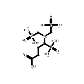 O=C(O)CCC(N(CP(=O)(O)O)CP(=O)(O)O)P(=O)(O)O